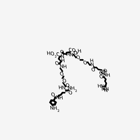 NC(=O)[C@H](CCCCNC(=O)c1ccc(N)cc1)NC(=O)COCCOCCNC(=O)CCC(NC(=O)CC[C@H](NC(=O)COCCOCCNC(=O)CCCS(=O)(=O)NC(=O)CCCc1nnn[nH]1)C(=O)O)C(=O)O